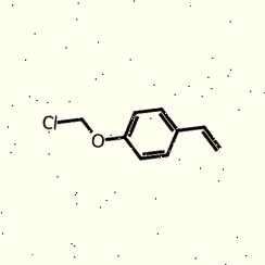 C=Cc1ccc(OCCl)cc1